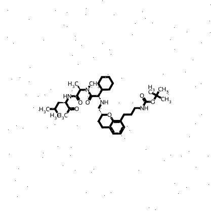 CC(=O)[C@@H](CC(C)C)NC(=O)[C@@H](C)N(C)C(=O)[C@@H](NC[C@H]1CCc2cccc(CCCNC(=O)OC(C)(C)C)c2O1)C1CCCCC1